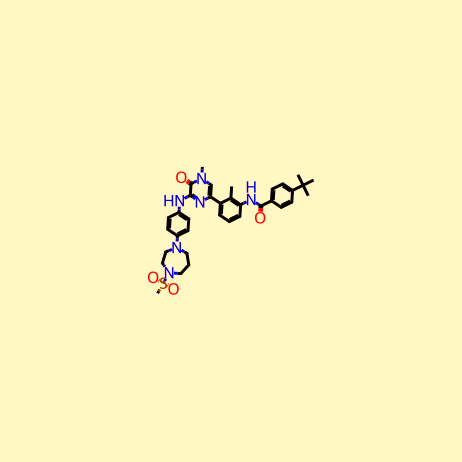 Cc1c(NC(=O)c2ccc(C(C)(C)C)cc2)cccc1-c1cn(C)c(=O)c(Nc2ccc(N3CCCN(S(C)(=O)=O)CC3)cc2)n1